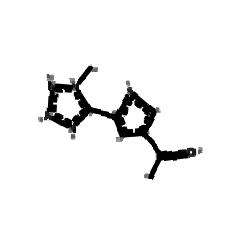 CC(=O)c1[c]sc(-c2nnnn2C)c1